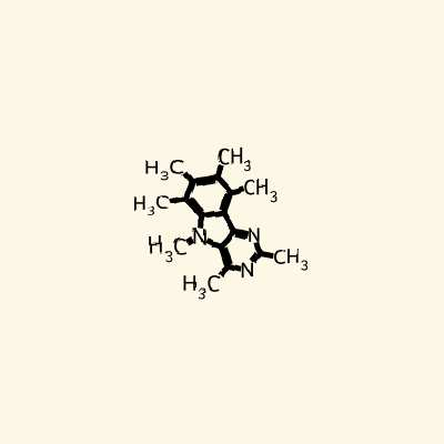 Cc1nc(C)c2c(n1)c1c(C)c(C)c(C)c(C)c1n2C